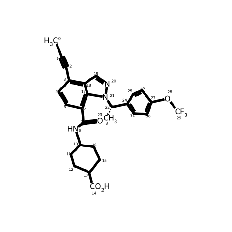 CC#Cc1ccc(C(=O)NC2CCC(C(=O)O)CC2)c2c1cnn2[C@@H](C)c1ccc(OC(F)(F)F)cc1